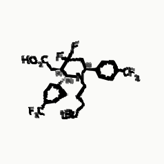 CC(C)(C)CCCN1[C@H](c2ccc(C(F)(F)F)cc2)[C@@H](CC(=O)O)C(F)(F)C[C@H]1c1ccc(C(F)(F)F)cc1